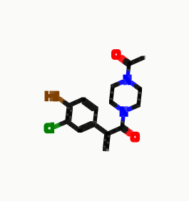 C=C(C(=O)N1CCN(C(C)=O)CC1)c1ccc(S)c(Cl)c1